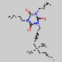 C=CCn1c(=O)n(CC#CC[Si](C)(C)CC=C)c(=O)n(CC=C)c1=O